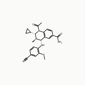 COc1cc(C#N)ccc1N[C@H]1c2cc(C(N)=O)ccc2N(C(C)=O)[C@@H](C2CC2)[C@@H]1C